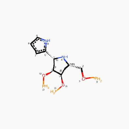 POC[C@H]1N[C@@H](c2ccc[nH]2)[C@H](OP)[C@@H]1OP